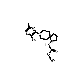 CC(=O)c1ncc(C)nc1N1CCC2(CCC[C@H]2NC(=O)OC(C)(C)C)CC1